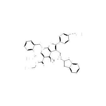 CCOC(=O)c1cn(Cc2ccccc2OC)c2sc(-c3ccc(OC)cc3)c(CN(C)C3Cc4ccccc4C3)c2c1=O